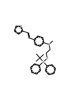 CN(CCO[Si](c1ccccc1)(c1ccccc1)C(C)(C)C)c1ccc(C=Cc2cccs2)cc1